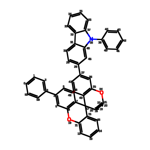 c1ccc(-c2ccc3c(c2)Oc2ccccc2C32c3ccccc3Oc3cc(-c4ccc5c6ccccc6n(-c6ccccc6)c5c4)ccc32)cc1